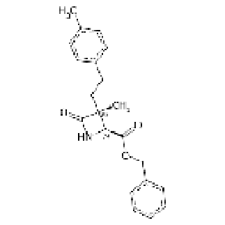 Cc1ccc(CC[C@@]2(C)C(=O)N[C@@H]2C(=O)OCc2ccccc2)cc1